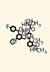 CNC(=O)c1cccc(-c2ncc(NC(=O)C(C)NC)c(=O)n2Cc2cc(C(=O)c3ccc(F)cc3)cc(N3CCCC3)c2)c1C